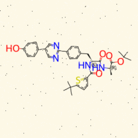 C[C@@H](NC(=O)[C@H](Cc1ccc(-c2ncc(-c3ccc(O)cc3)cn2)cc1)NC(=O)c1ccc(C(C)(C)C)s1)C(=O)OC(C)(C)C